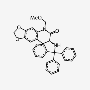 COCN1C(=O)[C@@H](NC(c2ccccc2)(c2ccccc2)c2ccccc2)Cc2cc3c(cc21)OCO3